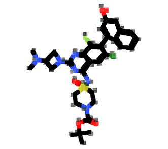 CN(C)C1CN(c2nc(N=S3(=O)CCN(C(=O)OC(C)(C)C)CC3)c3cc(Cl)c(-c4cc(O)cc5ccccc45)c(F)c3n2)C1